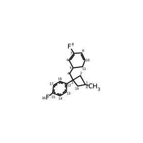 CC1CC(CC2C=C(F)C=CC2)(c2ccc(F)cc2)C1